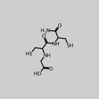 NC(=O)C(CS)NC(=O)C(CS)NCC(=O)O